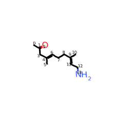 CC(=O)CC(C)=CCCC(C)=CCN